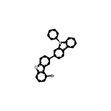 Brc1cccc2oc3ccc(-c4ccc5c6ccccc6n(-c6ccccc6)c5c4)cc3c12